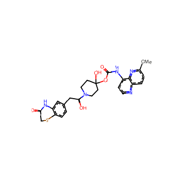 COc1ccc2nccc(NC(=O)OC3(O)CCN(C(O)Cc4ccc5c(c4)NC(=O)CS5)CC3)c2n1